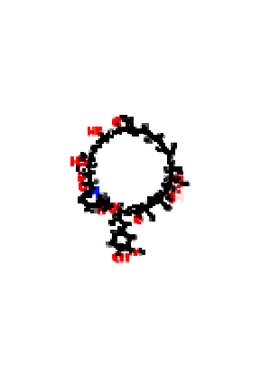 CO[C@H]1C[C@@H](O)CC[C@@H](C)[C@](C)(O)C(=O)C(=O)N2CCCC[C@H]2C(=O)O[C@H]([C@H](C)C[C@@H]2CC[C@@H](O)[C@H](OC)C2)CC(=O)[C@H](C)/C=C(\C)[C@@H](O)[C@@H](OC)C(=O)[C@H](C)C[C@H](C)/C=C/C=C/C=C/1C